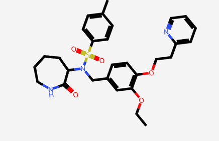 CCOc1cc(CN(C2CCCCNC2=O)S(=O)(=O)c2ccc(C)cc2)ccc1OCCc1ccccn1